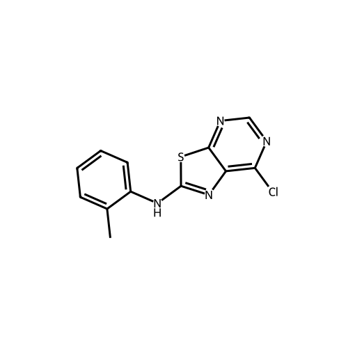 Cc1ccccc1Nc1nc2c(Cl)ncnc2s1